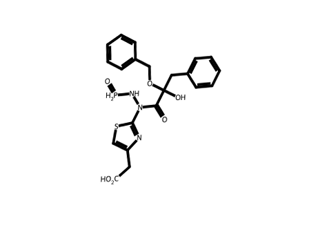 O=[PH2]NN(C(=O)C(O)(Cc1ccccc1)OCc1ccccc1)c1nc(CC(=O)O)cs1